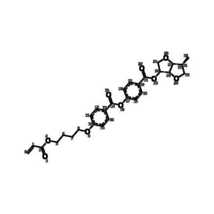 C=CC(=O)OCCCCOc1ccc(C(=O)Oc2ccc(C(=O)OC3COC4C3OC[C@@H]4C)cc2)cc1